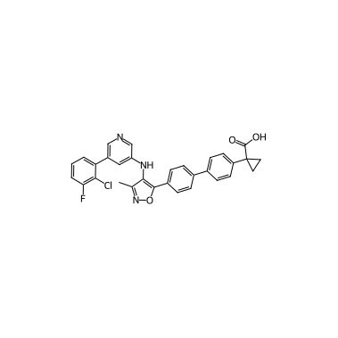 Cc1noc(-c2ccc(-c3ccc(C4(C(=O)O)CC4)cc3)cc2)c1Nc1cncc(-c2cccc(F)c2Cl)c1